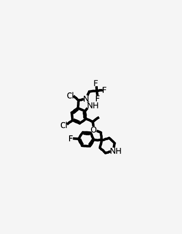 CC(OCC1(c2ccc(F)cc2)CCNCC1)c1cc(Cl)cc2c1NN(CC(F)(F)F)C2Cl